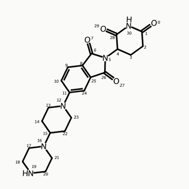 O=C1CCC(N2C(=O)c3ccc(N4CCC(N5CCNCC5)CC4)cc3C2=O)C(=O)N1